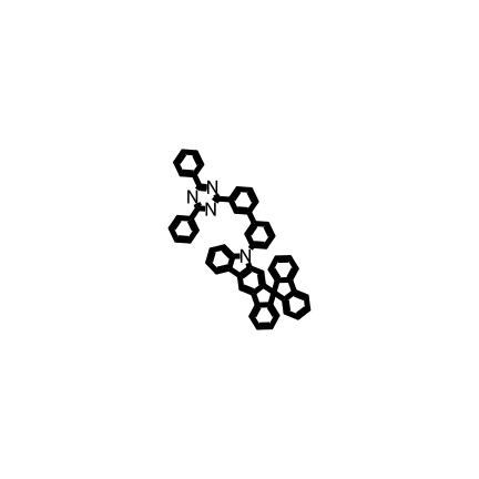 c1ccc(-c2nc(-c3ccccc3)nc(-c3cccc(-c4cccc(-n5c6ccccc6c6cc7c(cc65)C5(c6ccccc6-c6ccccc65)c5ccccc5-7)c4)c3)n2)cc1